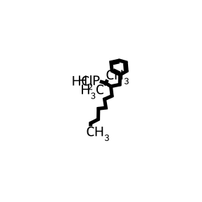 CCCCCCCC(Cc1ccccc1)C(C)(C)P.Cl